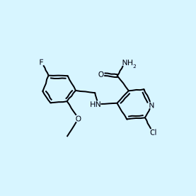 COc1ccc(F)cc1CNc1cc(Cl)ncc1C(N)=O